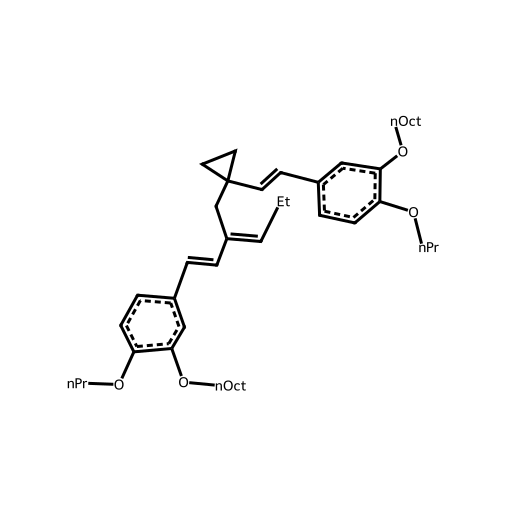 CC/C=C(/C=C/c1ccc(OCCC)c(OCCCCCCCC)c1)CC1(/C=C/c2ccc(OCCC)c(OCCCCCCCC)c2)CC1